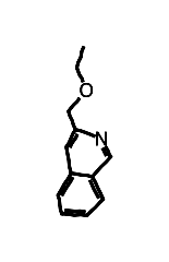 CCOCc1cc2ccccc2cn1